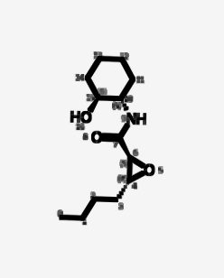 CCCC[C@H]1O[C@@H]1C(=O)N[C@H]1CCCC[C@@H]1O